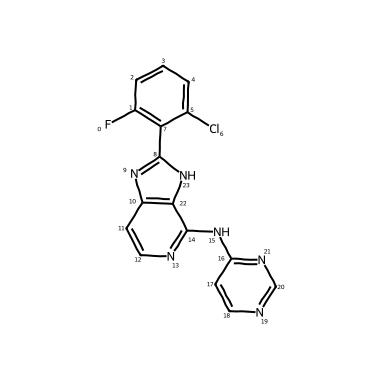 Fc1cccc(Cl)c1-c1nc2ccnc(Nc3ccncn3)c2[nH]1